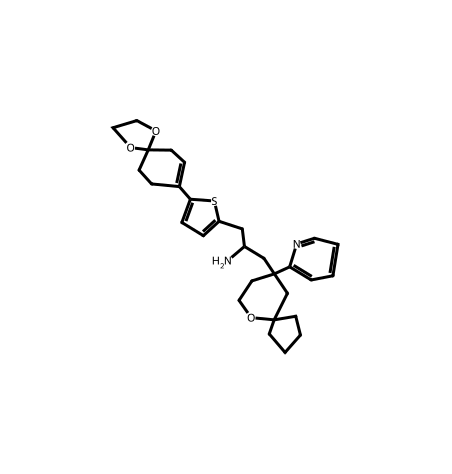 NC(Cc1ccc(C2=CCC3(CC2)OCCO3)s1)CC1(c2ccccn2)CCOC2(CCCC2)C1